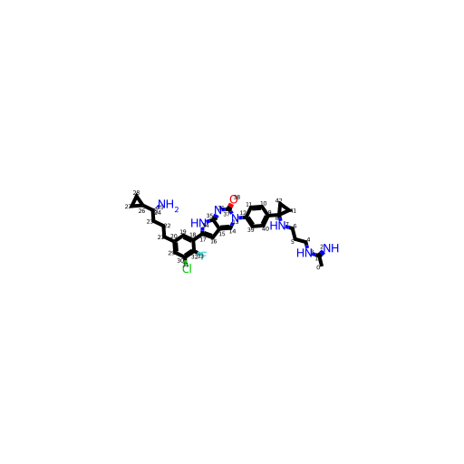 CC(=N)NCCCNC1(c2ccc(-n3cc4cc(-c5cc(CCC[C@@H](N)C6CC6)cc(Cl)c5F)[nH]c4nc3=O)cc2)CC1